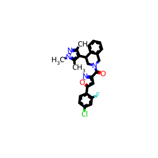 Cc1nn(C)c(C)c1C1CN(C(=O)c2cc(-c3ccc(Cl)cc3F)on2)Cc2ccccc21